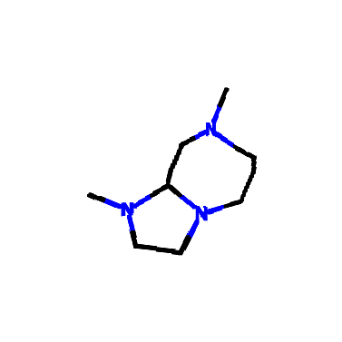 CN1CCN2CCN(C)C2C1